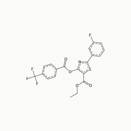 CCOC(=O)c1sc(-c2cccc(F)c2)nc1OC(=O)c1ccc(C(F)(F)F)cc1